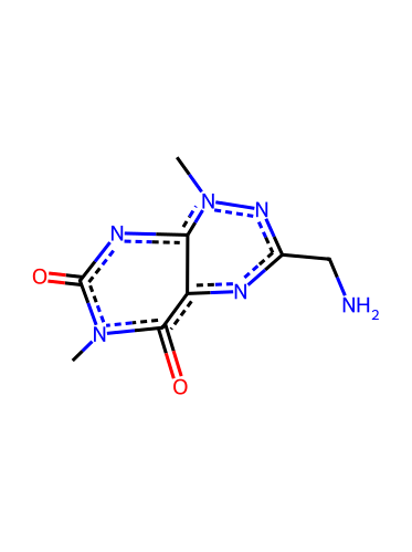 Cn1nc(CN)nc2c(=O)n(C)c(=O)nc1-2